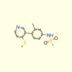 CSc1ccncc1-c1ccc(NS(C)(=O)=O)cc1C